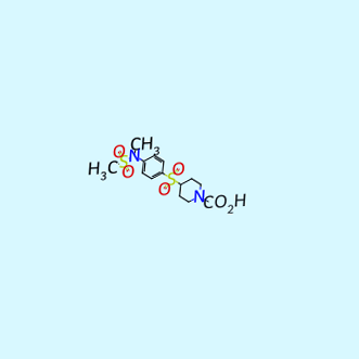 CN(c1ccc(S(=O)(=O)C2CCN(C(=O)O)CC2)cc1)S(C)(=O)=O